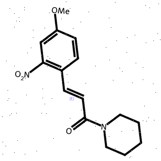 COc1ccc(/C=C/C(=O)N2CCCCC2)c([N+](=O)[O-])c1